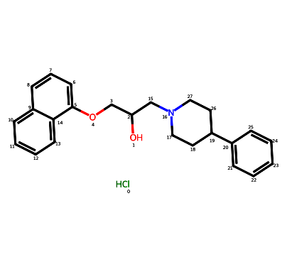 Cl.OC(COc1cccc2ccccc12)CN1CCC(c2ccccc2)CC1